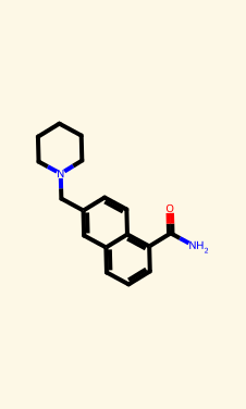 NC(=O)c1cccc2cc(CN3CCCCC3)ccc12